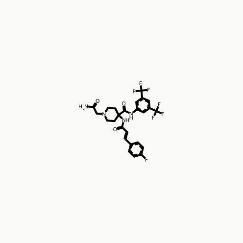 NC(=O)CN1CCC(NC(=O)C=Cc2ccc(F)cc2)(C(=O)Nc2cc(C(F)(F)F)cc(C(F)(F)F)c2)CC1